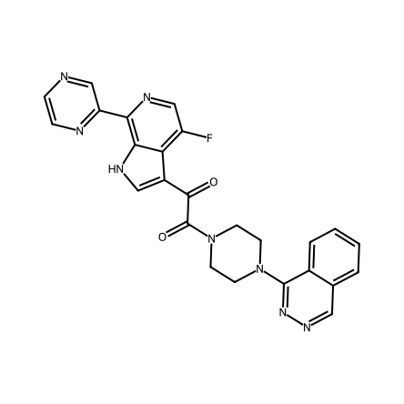 O=C(C(=O)N1CCN(c2nncc3ccccc23)CC1)c1c[nH]c2c(-c3cnccn3)ncc(F)c12